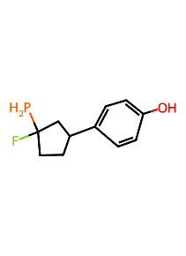 Oc1ccc(C2CCC(F)(P)C2)cc1